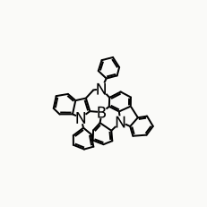 c1ccc(N2Cc3c(n(-c4ccccc4)c4ccccc34)B3c4ccccc4-n4c5ccccc5c5ccc2c3c54)cc1